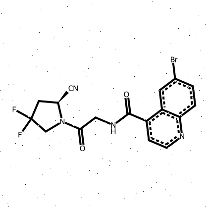 N#C[C@@H]1CC(F)(F)CN1C(=O)CNC(=O)c1ccnc2ccc(Br)cc12